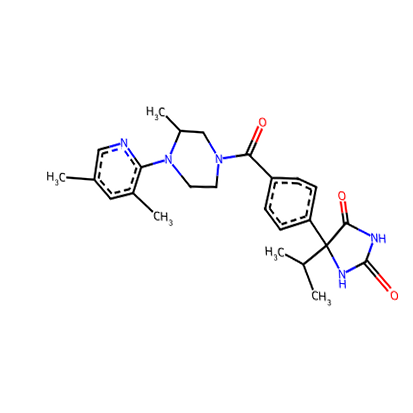 Cc1cnc(N2CCN(C(=O)c3ccc(C4(C(C)C)NC(=O)NC4=O)cc3)CC2C)c(C)c1